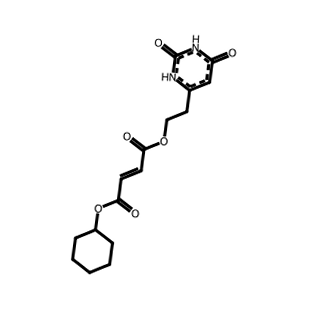 O=C(/C=C/C(=O)OC1CCCCC1)OCCc1cc(=O)[nH]c(=O)[nH]1